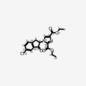 CCOC(=O)c1cn(C2Cc3ccc(Cl)cc3C2=O)c(C(=O)OCC)n1